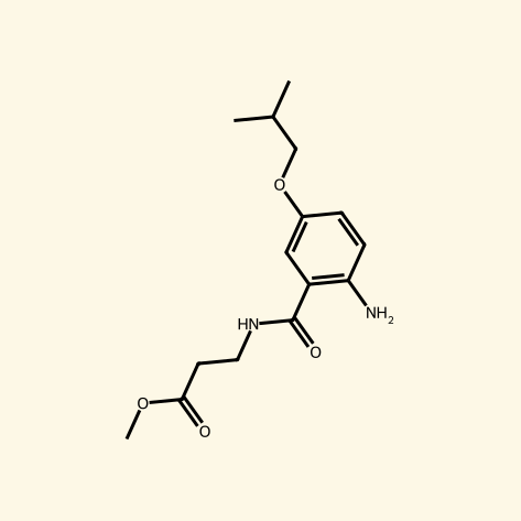 COC(=O)CCNC(=O)c1cc(OCC(C)C)ccc1N